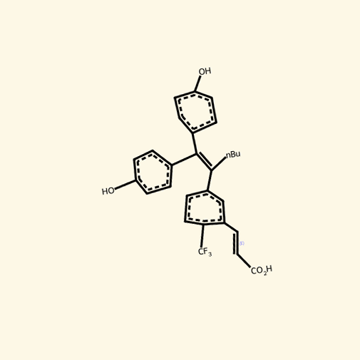 CCCCC(=C(c1ccc(O)cc1)c1ccc(O)cc1)c1ccc(C(F)(F)F)c(/C=C/C(=O)O)c1